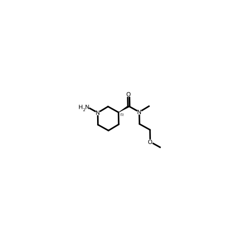 COCCN(C)C(=O)[C@H]1CCCN(N)C1